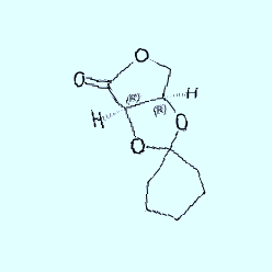 O=C1OC[C@H]2OC3(CCCCC3)O[C@@H]12